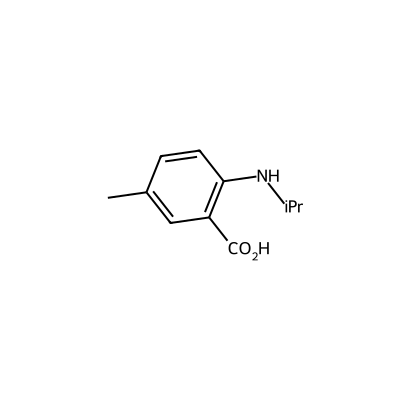 Cc1ccc(NC(C)C)c(C(=O)O)c1